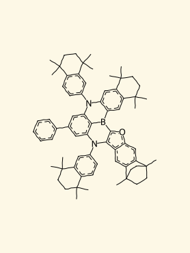 CC1(C)CCC(C)(C)c2cc(N3c4cc5c(cc4B4c6oc7cc8c(cc7c6N(c6ccc7c(c6)C(C)(C)CCC7(C)C)c6cc(-c7ccccc7)cc3c64)C3(C)CCC8(C)CC3)C(C)(C)CCC5(C)C)ccc21